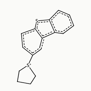 c1ccc2c(c1)sc1ccc([S+]3CCCC3)cc12